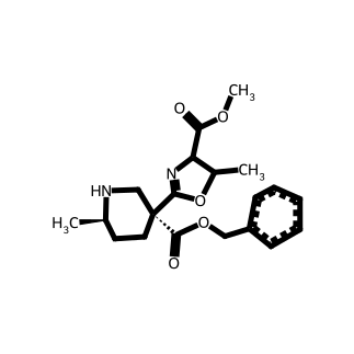 COC(=O)C1N=C([C@@]2(C(=O)OCc3ccccc3)CC[C@@H](C)NC2)OC1C